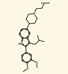 CNCCN1CCC(c2ccc3[nH]c(-c4ccc(OC)c(OC)c4)c(CC(C)C)c3c2)CC1